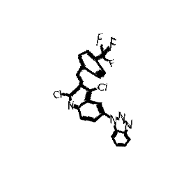 FC(F)(F)c1ccc(Cc2c(Cl)nc3ccc(-n4nnc5ccccc54)cc3c2Cl)cc1